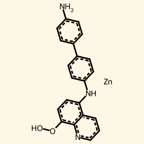 Nc1ccc(-c2ccc(Nc3ccc(OO)c4ncccc34)cc2)cc1.[Zn]